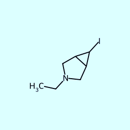 CCN1CC2C(I)C2C1